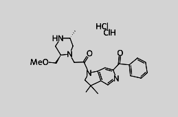 COC[C@H]1CN[C@H](C)CN1CC(=O)N1CC(C)(C)c2cnc(C(=O)c3ccccc3)cc21.Cl.Cl